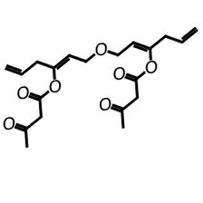 C=CCC(=CCOCC=C(CC=C)OC(=O)CC(C)=O)OC(=O)CC(C)=O